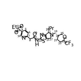 CCS(=O)(=O)c1ccc(CC(=O)Nc2nc3c(s2)CN(C[C@H]2CC[C@@H](C(F)(F)F)OC2)[C@H]3C(C)C)nc1